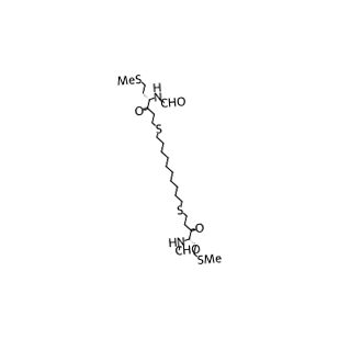 CSCC[C@H](NC=O)C(=O)CCSCCCCCCCCCCSCCC(=O)[C@H](CCSC)NC=O